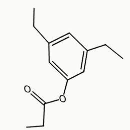 CCC(=O)Oc1cc(CC)cc(CC)c1